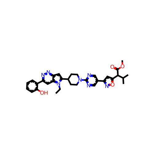 CCn1c(C2CCN(c3ncc(-c4cc(C(C(=O)OC)C(C)C)on4)cn3)CC2)cc2nnc(-c3ccccc3O)cc21